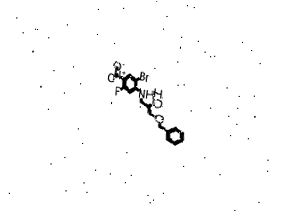 O=[N+]([O-])c1cc(Br)c(NCC(O)COCc2ccccc2)cc1F